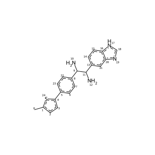 Cc1ccc(-c2ccc(C(N)C(N)c3ccc4[nH]cnc4c3)cc2)s1